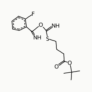 CC(C)(C)OC(=O)CCCSC(=N)OC(=N)c1ccccc1F